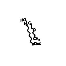 C=CCOCC=C.CCCCCCCCCCCCCCCCCCO